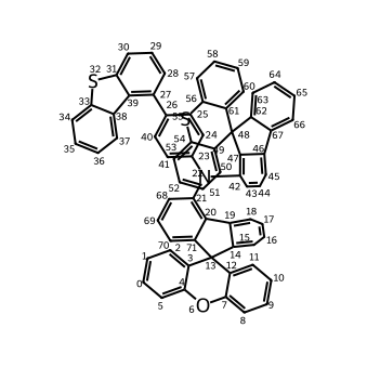 c1ccc2c(c1)Oc1ccccc1C21c2ccccc2-c2c(N(c3ccc(-c4cccc5sc6ccccc6c45)cc3)c3cccc4c3C3(c5ccccc5Sc5ccccc53)c3ccccc3-4)cccc21